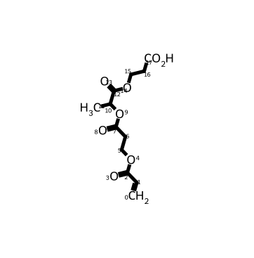 C=CC(=O)OCCC(=O)OC(C)C(=O)OCCC(=O)O